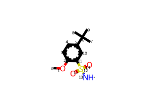 COc1ccc(C(C)(C)C)cc1S([NH])(=O)=O